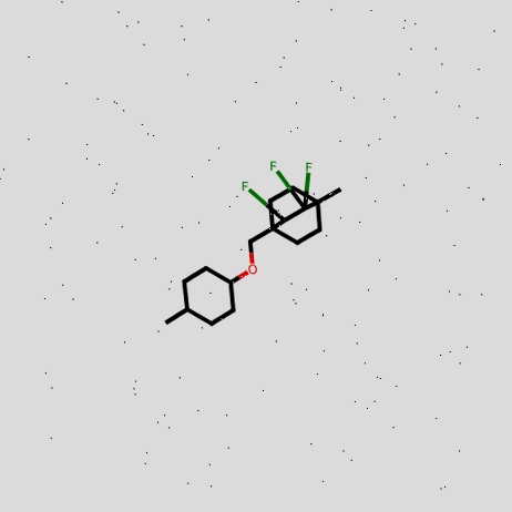 CC1CCC(OCC23CCC(C)(CC2)C(F)(F)C3F)CC1